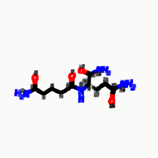 NC(=O)CCCC(=O)N[C@@H](CCC(N)=O)C(N)=O